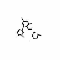 Cc1cc(C)c(C=C[C@H]2C[C@H](O)CC(=O)O2)c(-c2ccc(F)c(C)c2)c1